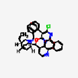 C=C[C@H]1C[N@+]2(Cc3ccccc3)CC[C@H]1C[C@@H]2[C@@H](Oc1nc(-c2ccccc2)nc(Cl)c1-c1ccccc1)c1ccnc2ccccc12